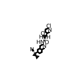 N#C[C@@]1(c2ccc3cnc(NC(=O)[C@@H]4[C@@H]5Oc6cc(Cl)ncc6[C@@H]54)cc3c2)CC12CC2